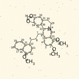 COc1ccc2c(CCCc3ccc(OC)c4ccccc34)c3[n+](cc2c1OC)CCc1cc2c(cc1-3)OCO2